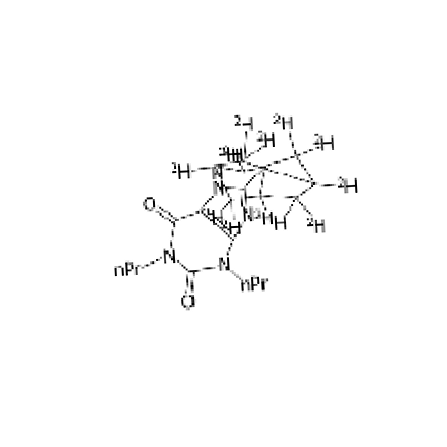 [2H]C1([2H])C2([2H])C([2H])([2H])C3([2H])C([2H])([2H])C1([2H])C([2H])([2H])C3(c1nc3c([nH]1)c(=O)n(CCC)c(=O)n3CCC)C2([2H])[2H]